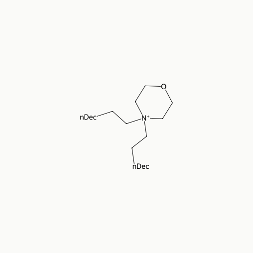 CCCCCCCCCCCC[N+]1(CCCCCCCCCCCC)CCOCC1